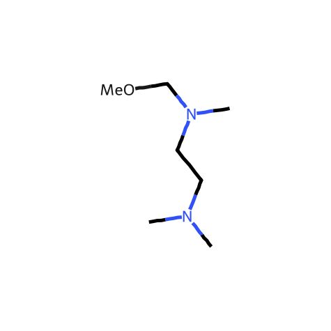 COCN(C)CCN(C)C